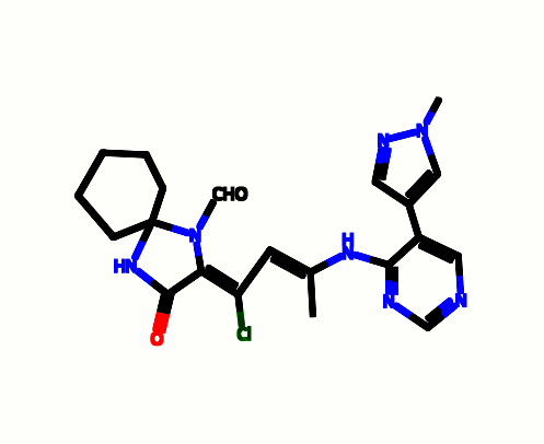 C/C(=C\C(Cl)=C1\C(=O)NC2(CCCCC2)N1C=O)Nc1ncncc1-c1cnn(C)c1